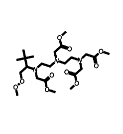 COOCC(N(CCN(CCN(CC(=O)OC)CC(=O)OC)CC(=O)OC)CC(=O)OC)C(C)(C)C